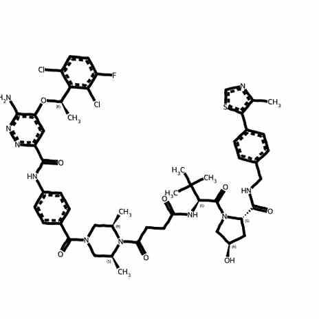 Cc1ncsc1-c1ccc(CNC(=O)[C@@H]2C[C@@H](O)CN2C(=O)[C@@H](NC(=O)CCC(=O)N2[C@H](C)CN(C(=O)c3ccc(NC(=O)c4cc(O[C@H](C)c5c(Cl)ccc(F)c5Cl)c(N)nn4)cc3)C[C@@H]2C)C(C)(C)C)cc1